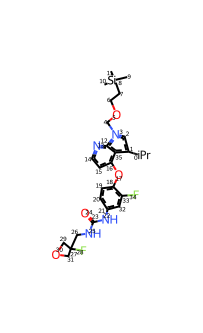 CC(C)c1cn(COCC[Si](C)(C)C)c2nccc(Oc3ccc(NC(=O)NCC4(F)COC4)cc3F)c12